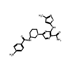 Cc1cc(Nc2nc(N3CCCC(NC(=O)c4ccc(N)cc4)C3)cnc2C(N)=O)sn1